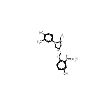 N#Cc1ccc(OC[C@@H]2CN(c3ccc(C#N)c(C(F)(F)F)c3)[C@@H](C(F)(F)F)O2)c(NC(=O)O)c1